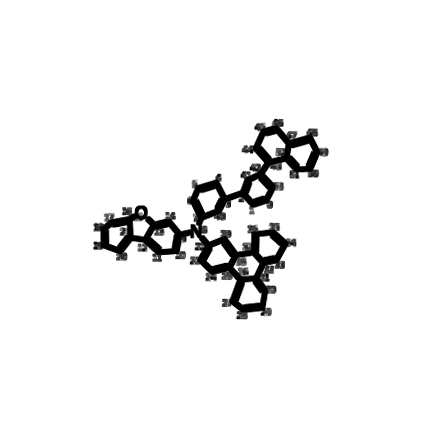 c1cc(-c2cccc(N(c3ccc4c(c3)oc3ccccc34)c3ccc4c5ccccc5c5ccccc5c4c3)c2)cc(-c2cccc3ccccc23)c1